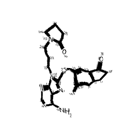 Nc1ncnc2c1nc(Sc1cc3c(cc1I)CCC3=O)n2CCCN1CCCC1=O